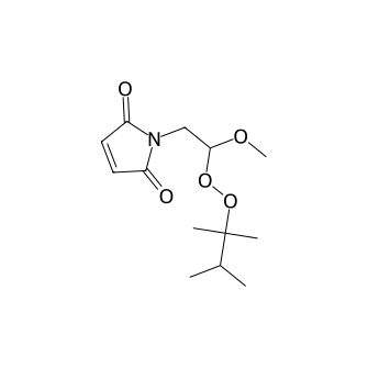 COC(CN1C(=O)C=CC1=O)OOC(C)(C)C(C)C